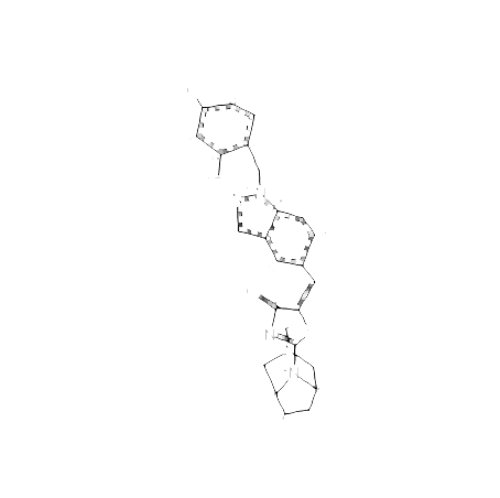 CN1CC2CCC(C1)N2C1=NC(=O)C(=Cc2ccc3c(cnn3Cc3ccc(C(F)(F)F)cc3C(F)(F)F)c2)S1